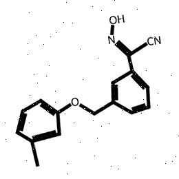 Cc1cccc(OCc2cccc(C(C#N)=NO)c2)c1